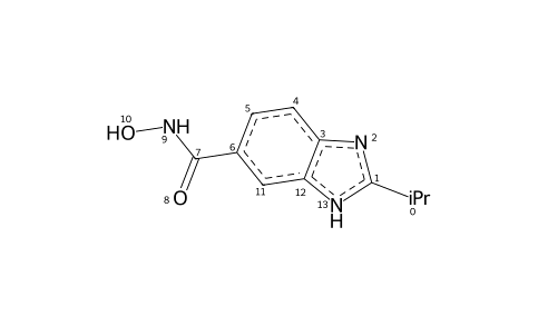 CC(C)c1nc2ccc(C(=O)NO)cc2[nH]1